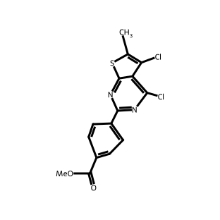 COC(=O)c1ccc(-c2nc(Cl)c3c(Cl)c(C)sc3n2)cc1